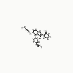 Nc1cccc(Cn2c(-c3ccccc3Cl)cc3ccc(CC#CCF)cc32)n1